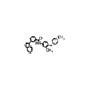 Cc1cc(NC(=O)c2cccc(-c3cnc4cnccn34)c2)ccc1CN1CCN(C)CC1